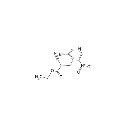 CCOC(=O)C(C#N)Cc1c(Br)cncc1[N+](=O)[O-]